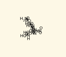 NS(=O)(=O)c1cccc(NC(=O)Nc2ncn(-c3nc(NCC(c4ccccc4)c4ccccc4)c4ncn([C@@H]5C[C@H](NC(=O)CO)[C@@H](O)[C@H]5O)c4n3)n2)c1